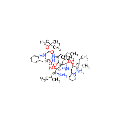 CCCC[C@H](NC(=O)[C@H](Cc1ccccc1)NC(=O)OC(C)(C)C)C(=O)[C@@](C[C@H](O)[C@@H](N)CC(C)C)(C(=O)NC(C(=O)[C@@H](N)[C@@H](C)CC)c1ccccn1)C(C)C